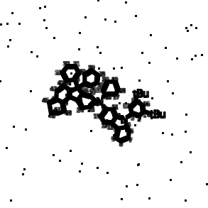 CC(C)(C)c1cc(-n2c3ccccc3c3ccc(N(c4ccccc4)c4ccc5c(c4)C(c4ccccc4)(c4ccccc4)c4ccc6ccccc6c4-5)cc32)cc(C(C)(C)C)c1